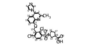 Cc1cc(-n2ccnc2)c2cccc(OCc3c(Cl)ccc(S(=O)(=O)N4CCC(C(=O)O)C4)c3Cl)c2n1